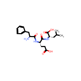 CC(C)C[C@H](NC(=O)[C@H](CCC(=O)O)NC(=O)[C@@H](N)Cc1ccccc1)C(=O)O